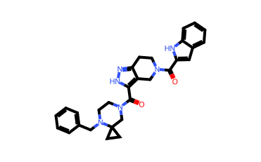 O=C(c1cc2ccccc2[nH]1)N1CCc2n[nH]c(C(=O)N3CCN(Cc4ccccc4)C4(CC4)C3)c2C1